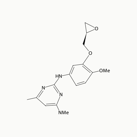 CNc1cc(C)nc(Nc2ccc(OC)c(OC[C@H]3CO3)c2)n1